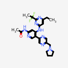 CCc1cc(Nc2cc(NC(C)=O)ncc2-c2cnc(CN3CCCC3)cn2)nc(C(C)(F)F)n1